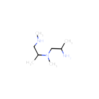 CNCC(C)N(C)CC(C)N